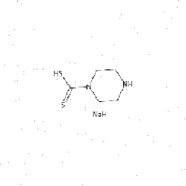 S=C(S)N1CCNCC1.[NaH]